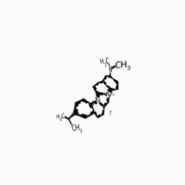 CC(C)c1ccc2c(ccc3c[n+]4c5ccc(N(C)C)cc5ccc4n32)c1.[I-]